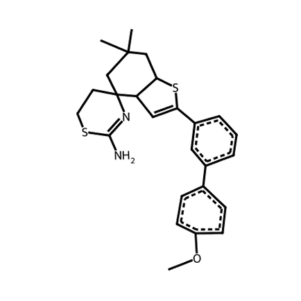 COc1ccc(-c2cccc(C3=CC4C(CC(C)(C)CC45CCSC(N)=N5)S3)c2)cc1